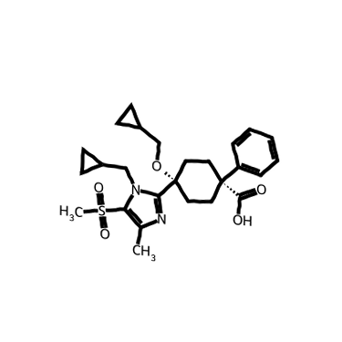 Cc1nc([C@]2(OCC3CC3)CC[C@](C(=O)O)(c3ccccc3)CC2)n(CC2CC2)c1S(C)(=O)=O